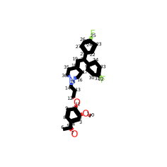 COc1cc(C(C)=O)ccc1OCCCN1CCC(=CC(c2ccc(F)cc2)c2ccc(F)cc2)CC1